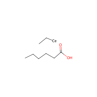 CCCCCC(=O)O.C[CH2][Ce]